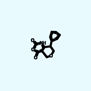 O=c1[nH]c2c(c(=O)o1)COCC2c1ccccc1